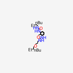 CCCCC(CC)CNC(=O)Nc1cccc(NC(=O)NCCCOCC(CC)CCCC)c1C